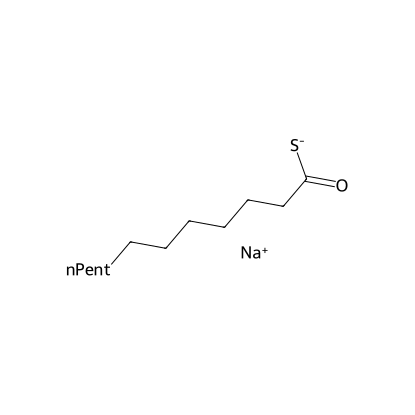 CCCCCCCCCCCC(=O)[S-].[Na+]